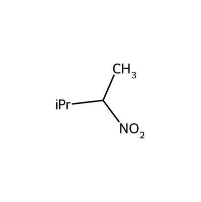 CC(C)C(C)[N+](=O)[O-]